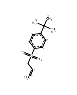 C=CCS(=O)(=O)c1ccc(C(C)(C)C)cc1